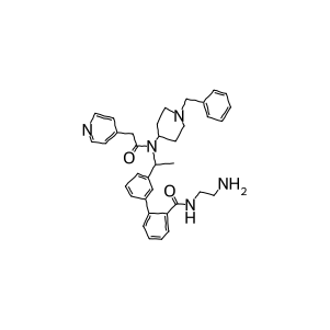 CC(c1cccc(-c2ccccc2C(=O)NCCN)c1)N(C(=O)Cc1ccncc1)C1CCN(Cc2ccccc2)CC1